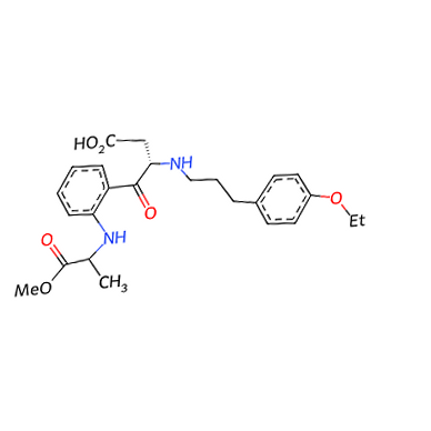 CCOc1ccc(CCCN[C@@H](CC(=O)O)C(=O)c2ccccc2NC(C)C(=O)OC)cc1